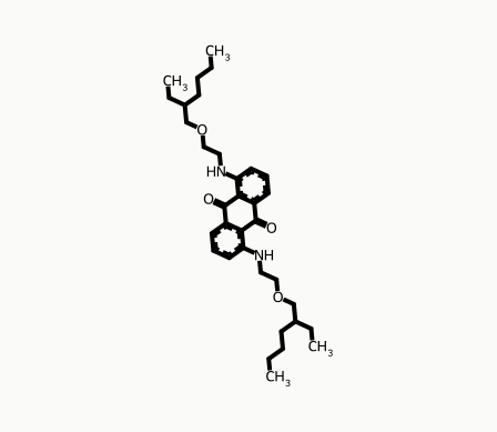 CCCCC(CC)COCCNc1cccc2c1C(=O)c1cccc(NCCOCC(CC)CCCC)c1C2=O